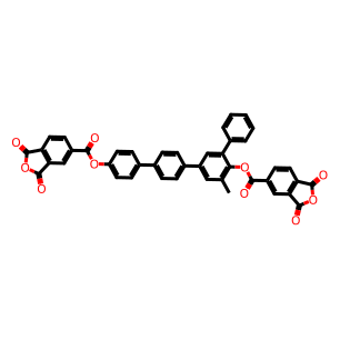 Cc1cc(-c2ccc(-c3ccc(OC(=O)c4ccc5c(c4)C(=O)OC5=O)cc3)cc2)cc(-c2ccccc2)c1OC(=O)c1ccc2c(c1)C(=O)OC2=O